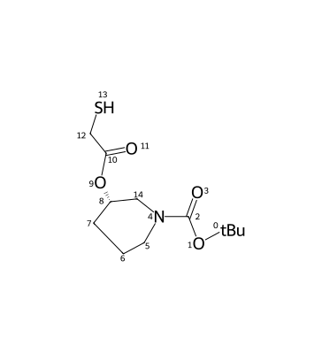 CC(C)(C)OC(=O)N1CCC[C@H](OC(=O)CS)C1